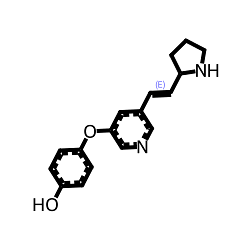 Oc1ccc(Oc2cncc(/C=C/C3CCCN3)c2)cc1